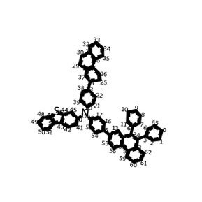 c1ccc(-c2c(-c3ccccc3)c3cc(-c4ccc(N(c5ccc(-c6ccc7c(ccc8ccccc87)c6)cc5)c5ccc6c(c5)sc5ccccc56)cc4)ccc3c3ccccc23)cc1